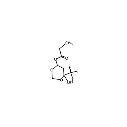 CCC(=O)OC1CC(O)(C(F)(F)F)OCO1